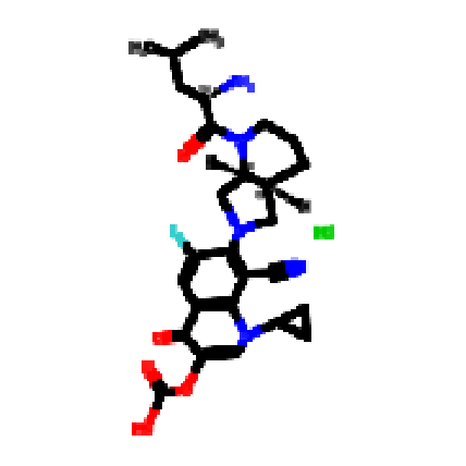 CC(C)C[C@H](N)C(=O)N1CCC[C@H]2CN(c3c(F)cc4c(=O)c(OC(=O)O)cn(C5CC5)c4c3C#N)C[C@H]21.Cl